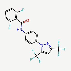 O=C(Nc1ccc(-n2nc(C(F)(F)F)cc2C(F)(F)F)cc1)c1c(F)cccc1F